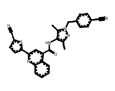 Cc1nn(Cc2ccc(C#N)cc2)c(C)c1NC(=O)c1cc(-c2ccc(C#N)s2)nc2ccccc12